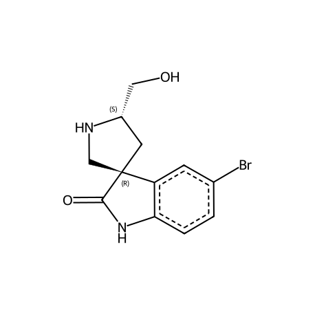 O=C1Nc2ccc(Br)cc2[C@]12CN[C@H](CO)C2